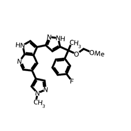 COCOC(C)(c1cccc(F)c1)c1cc(-c2c[nH]c3ncc(-c4cnn(C)c4)cc23)n[nH]1